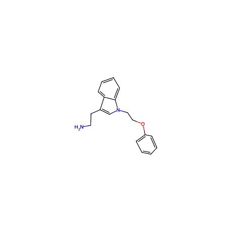 NCCc1cn(CCOc2ccccc2)c2ccccc12